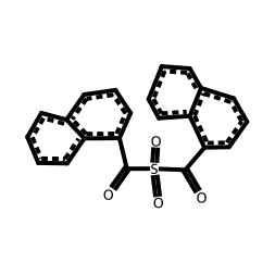 O=C(c1cccc2ccccc12)S(=O)(=O)C(=O)c1cccc2ccccc12